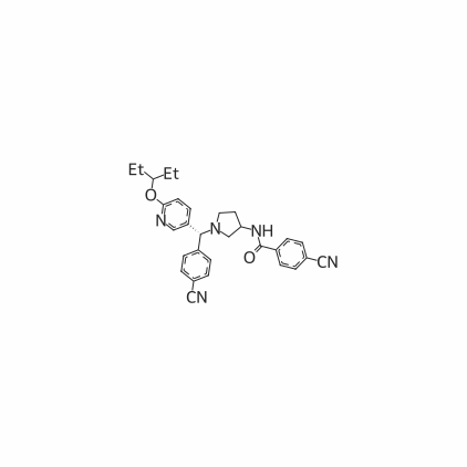 CCC(CC)Oc1ccc([C@@H](c2ccc(C#N)cc2)N2CCC(NC(=O)c3ccc(C#N)cc3)C2)cn1